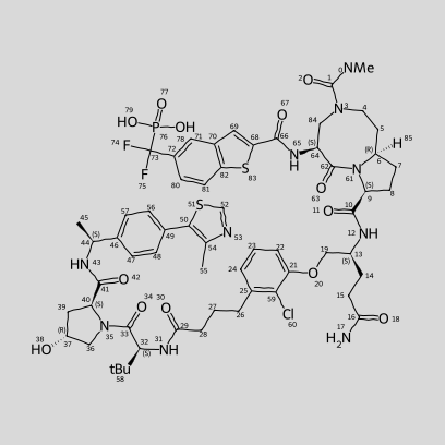 CNC(=O)N1CC[C@H]2CC[C@@H](C(=O)N[C@@H](CCC(N)=O)COc3cccc(CCCC(=O)N[C@H](C(=O)N4C[C@H](O)C[C@H]4C(=O)N[C@@H](C)c4ccc(-c5scnc5C)cc4)C(C)(C)C)c3Cl)N2C(=O)[C@@H](NC(=O)c2cc3cc(C(F)(F)P(=O)(O)O)ccc3s2)C1